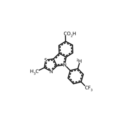 [2H]c1cc(C(F)(F)F)ccc1-n1c2ccc(C(=O)O)cc2c2sc(C)nc21